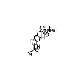 CCCCS(=O)(=O)NC(Cc1ccc(-c2noc(C3CC3)n2)c(F)c1)C(=O)O